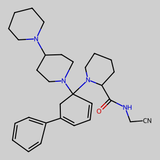 N#CCNC(=O)C1CCCCN1C1(N2CCC(N3CCCCC3)CC2)C=CC=C(c2ccccc2)C1